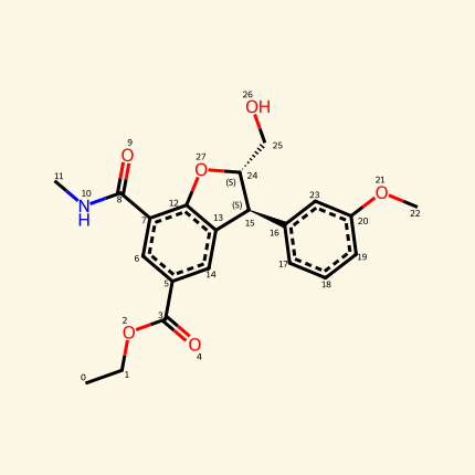 CCOC(=O)c1cc(C(=O)NC)c2c(c1)[C@H](c1cccc(OC)c1)[C@@H](CO)O2